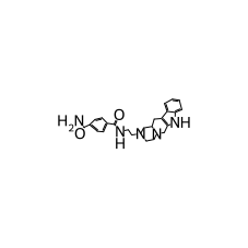 NC(=O)c1ccc(C(=O)NCCN2CCN3Cc4[nH]c5ccccc5c4CC3C2)cc1